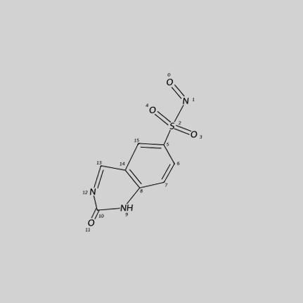 O=NS(=O)(=O)c1ccc2[nH]c(=O)ncc2c1